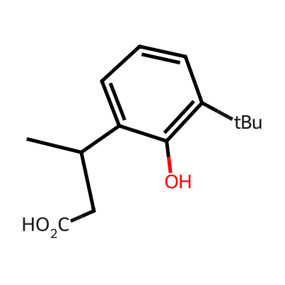 CC(CC(=O)O)c1cccc(C(C)(C)C)c1O